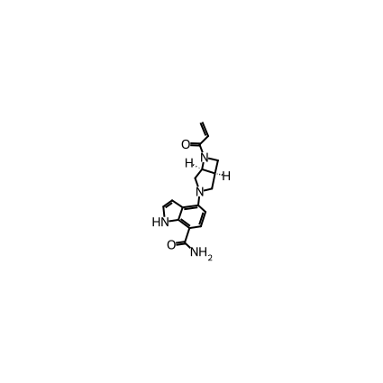 C=CC(=O)N1C[C@H]2CN(c3ccc(C(N)=O)c4[nH]ccc34)C[C@H]21